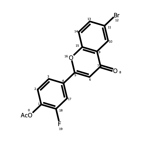 CC(=O)Oc1ccc(-c2cc(=O)c3cc(Br)ccc3o2)cc1F